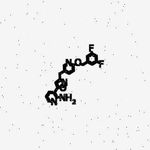 Nc1ncccc1-c1cc(Cc2ccc(OCc3cc(F)cc(F)c3)nc2)no1